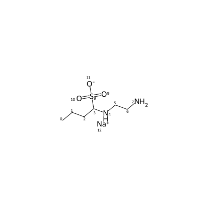 CCCC(NCCN)S(=O)(=O)[O-].[Na+]